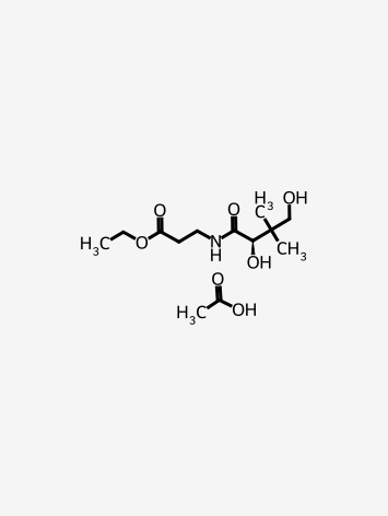 CC(=O)O.CCOC(=O)CCNC(=O)[C@H](O)C(C)(C)CO